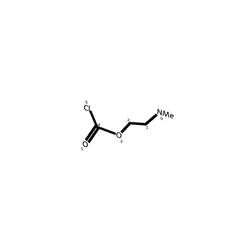 CNCCOC(=O)Cl